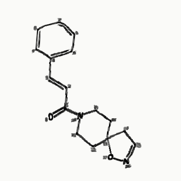 O=C(C=Cc1ccccc1)N1CCC2(CC=NO2)CC1